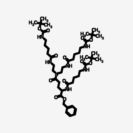 CC(C)(C)OC(=O)NCCCCC(=O)NCCN(CCNC(=O)CCCCNC(=O)OC(C)(C)C)C(=O)CCC(NC(=O)CCCCNC(=O)OC(C)(C)C)C(=O)OCc1ccccc1